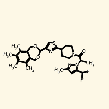 Cc1cc(C(F)F)n(C(C)C(=O)N2CCC(c3nc(C4OCc5c(C)c(C)c(C)c(C)c5CO4)cs3)CC2)n1